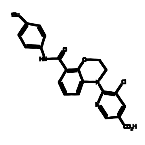 CC(C)(C)c1ccc(NC(=O)c2cccc3c2OCCN3c2ncc(C(=O)O)cc2Cl)cc1